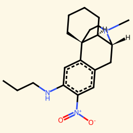 CCCNc1cc2c(cc1[N+](=O)[O-])C[C@@H]1[C@@H]3CCCC[C@]23CCN1C